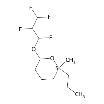 CCC[Si]1(C)CCCC(OC(F)C(F)C(F)F)O1